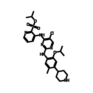 Cc1cc(Nc2ncc(Cl)c(Nc3cccnc3S(=O)(=O)OC(C)C)n2)c(OC(C)C)cc1C1CCNCC1